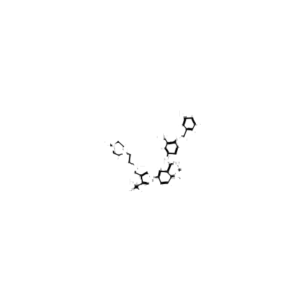 CN1CCN(CCNCc2cn(-c3ccc4ncnc(Nc5ccc(OCc6cccc(F)c6)c(Cl)c5)c4c3)cc2C(F)(F)F)CC1